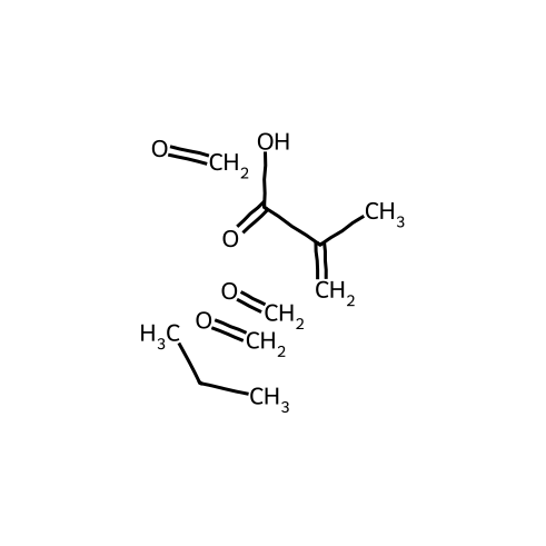 C=C(C)C(=O)O.C=O.C=O.C=O.CCC